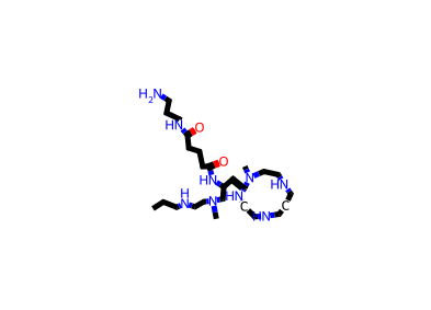 CCCNCCN(C)CC(/C=C1\NCCNCCCNCCN1C)NC(=O)CCCC(=O)NCCCN